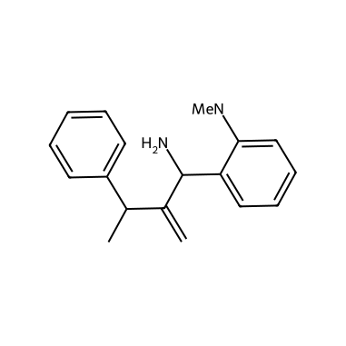 C=C(C(C)c1ccccc1)C(N)c1ccccc1NC